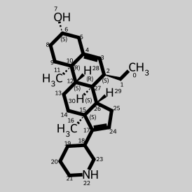 CC[C@@H]1C=C2C[C@@H](O)CC[C@]2(C)[C@H]2CC[C@]3(C)C(C4CCCNC4)=CC[C@H]3[C@H]12